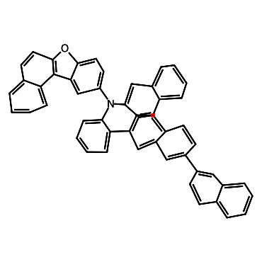 c1ccc(N(c2ccc3ccccc3c2)c2ccc3oc4ccc5ccccc5c4c3c2)c(-c2ccc3ccc(-c4ccc5ccccc5c4)cc3c2)c1